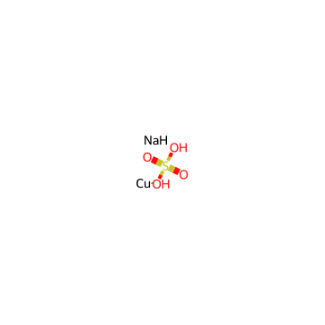 O=S(=O)(O)O.[Cu].[NaH]